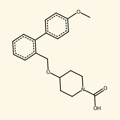 COc1ccc(-c2ccccc2COC2CCN(C(=O)O)CC2)cc1